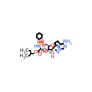 CCC(CC)COC(=O)[C@H](C)N[P@@](=O)(OC[C@H]1O[C@@](C#N)(c2ccc3c(N)ncnn23)[C@H](O)C1O)Oc1ccccc1